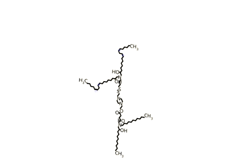 CCCCC/C=C\C/C=C\CCCCCC[C@H](O)CN(CCCCSSCCN1CCN(CCOC(=O)CCCCN(CC(O)CCCCCCCCCC)CC(O)CCCCCCCCCC)CC1)C[C@@H](O)CCCCCC/C=C\C/C=C\CCCCC